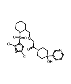 O=C(COCC1CCCCN1S(=O)(=O)c1cc(Cl)sc1Cl)N1CCC(O)(c2cccnc2)CC1